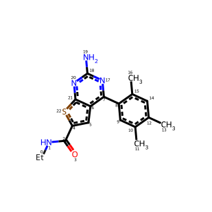 CCNC(=O)c1cc2c(-c3cc(C)c(C)cc3C)nc(N)nc2s1